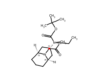 CCNC(=O)CN1[C@@H]2CCC[C@H]1C[C@H](N(C)C(=O)OC(C)(C)C)C2